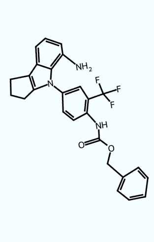 Nc1cccc2c3c(n(-c4ccc(NC(=O)OCc5ccccc5)c(C(F)(F)F)c4)c12)CCC3